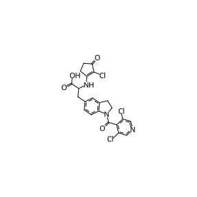 O=C1CCC(NC(Cc2ccc3c(c2)CCN3C(=O)c2c(Cl)cncc2Cl)C(=O)O)=C1Cl